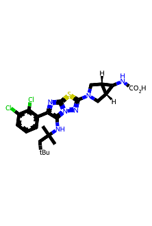 CC(C)(C)CC(C)(C)Nc1c(-c2cccc(Cl)c2Cl)nc2sc(N3C[C@@H]4C(NC(=O)O)[C@@H]4C3)nn12